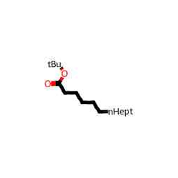 CCCCCCCCCCCCC(=O)OC(C)(C)C